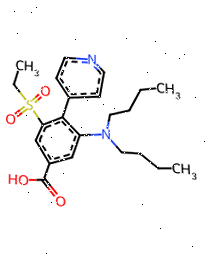 CCCCN(CCCC)c1cc(C(=O)O)cc(S(=O)(=O)CC)c1-c1ccncc1